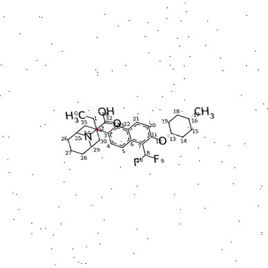 CCC(c1ccc2c(C(F)F)c(O[C@H]3CC[C@@H](C)CC3)ccc2c1)N1C2CCCC1CC(C(=O)O)C2